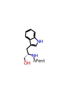 CCCCCN[C@H](CO)Cc1c[nH]c2ccccc12